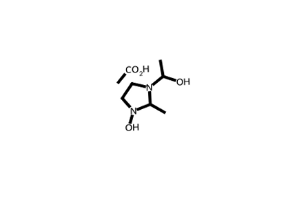 CC(=O)O.CC(O)N1CCN(O)C1C